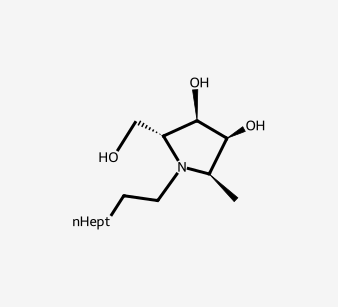 CCCCCCCCCN1[C@H](C)[C@H](O)[C@H](O)[C@H]1CO